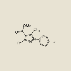 COC(=O)c1c(C(C)C)nn(-c2ccc(F)cc2)c1C